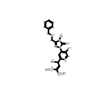 CCOC(=O)C(=CC(c1cc(-n2nc(COCc3ccccc3)n(CC)c2=O)c(F)cn1)C(C)C)C(=O)OCC